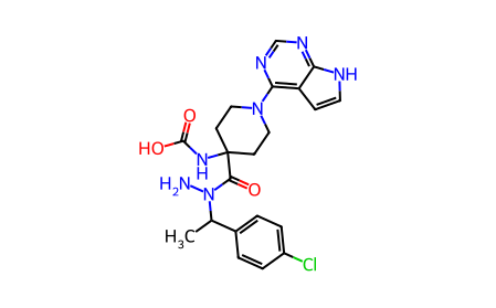 CC(c1ccc(Cl)cc1)N(N)C(=O)C1(NC(=O)O)CCN(c2ncnc3[nH]ccc23)CC1